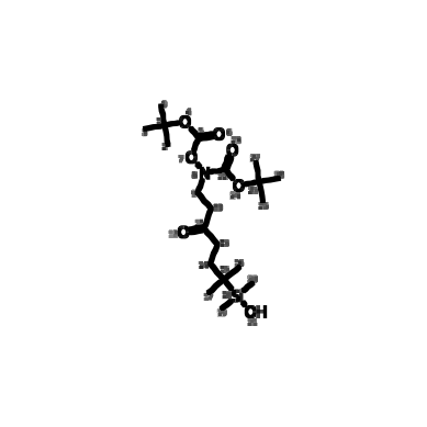 CC(C)(C)OC(=O)ON(CCC(=O)CCC(C)(C)[Si](C)(C)O)C(=O)OC(C)(C)C